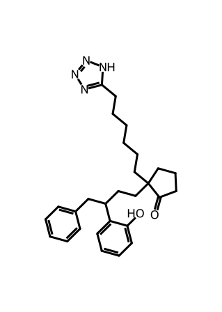 O=C1CCCC1(CCCCCCc1nnn[nH]1)CCC(Cc1ccccc1)c1ccccc1O